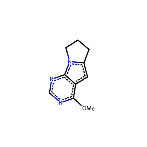 COc1ncnc2c1cc1n2CCC1